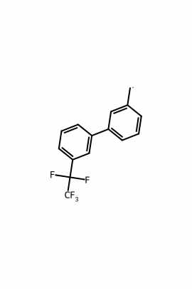 [CH2]c1cccc(-c2cccc(C(F)(F)C(F)(F)F)c2)c1